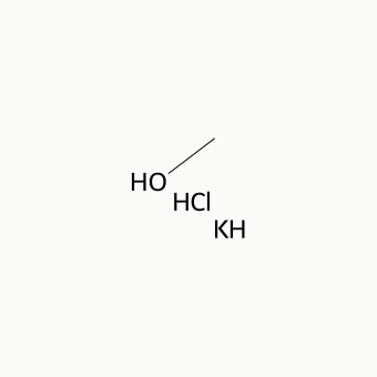 CO.Cl.[KH]